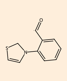 O=[C]c1ccccc1N1C=CSC1